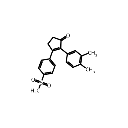 Cc1ccc(C2=C(c3ccc(S(C)(=O)=O)cc3)CCC2=O)cc1C